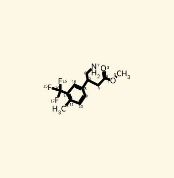 COC(=O)CC(CN)c1ccc(C)c(C(F)(F)F)c1